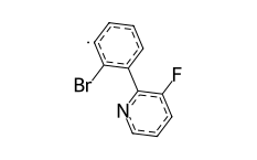 Fc1cccnc1-c1ccc[c]c1Br